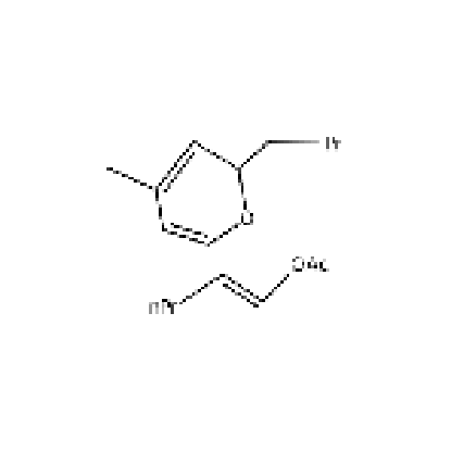 CC1=CC(CC(C)C)OC=C1.CCCC=COC(C)=O